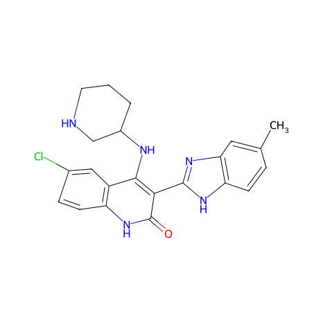 Cc1ccc2[nH]c(-c3c(NC4CCCNC4)c4cc(Cl)ccc4[nH]c3=O)nc2c1